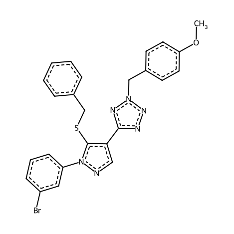 COc1ccc(Cn2nnc(-c3cnn(-c4cccc(Br)c4)c3SCc3ccccc3)n2)cc1